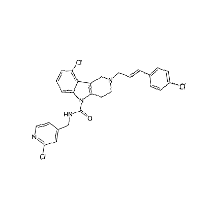 O=C(NCc1ccnc(Cl)c1)n1c2c(c3c(Cl)cccc31)CN(C/C=C/c1ccc(Cl)cc1)CC2